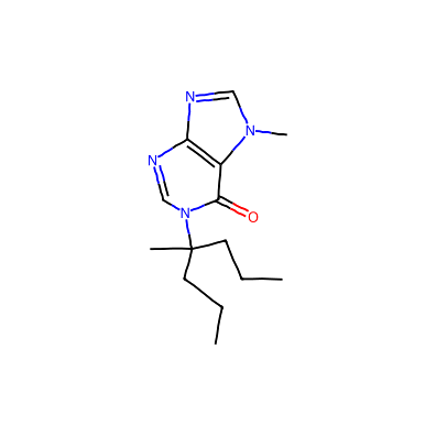 CCCC(C)(CCC)n1cnc2ncn(C)c2c1=O